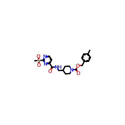 Cc1ccc(COC(=O)N2CCC(CNC(=O)c3ccnc(S(C)(=O)=O)n3)CC2)cc1